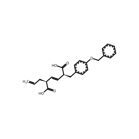 C=CC[C@@H](C=C[C@H](Cc1ccc(OCc2ccccc2)cc1)C(=O)O)C(=O)O